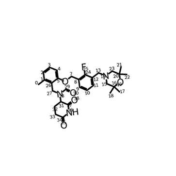 Cc1cccc(OCc2cccc(CN3CC(C)(C)OC(C)(C)C3)c2F)c1CN(C=O)C1CCC(=O)NC1=O